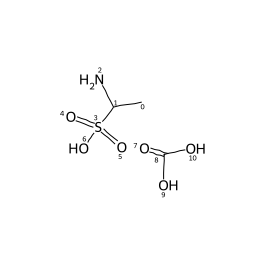 CC(N)S(=O)(=O)O.O=C(O)O